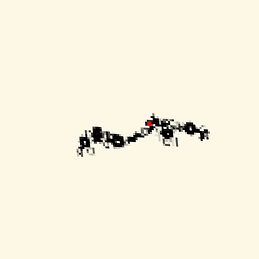 Cc1ncsc1-c1ccc(N(C)NC(=O)[C@@H]2C[C@@H](O)CN2C(=O)[C@@H](NC(=O)COCCCCOc2ccc(C(=O)NC3C(C)(C)C(Oc4ccc(C#N)c(Cl)c4)C3(C)C)cc2)C(C)(C)C)cc1